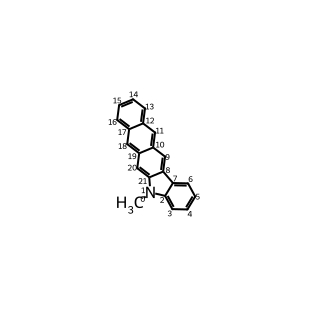 Cn1c2ccccc2c2cc3cc4ccccc4cc3cc21